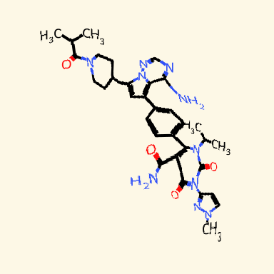 CC(C)C(=O)N1CCC(c2cc(-c3ccc(-c4c(C(N)=O)c(=O)n(-c5ccn(C)n5)c(=O)n4C(C)C)cc3)c3c(N)ncnn23)CC1